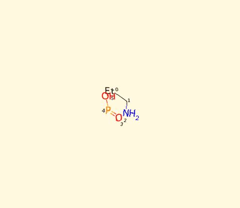 CCCN.O=PO